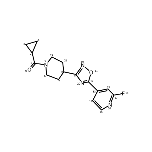 O=C(C1CC1)N1CCC(c2noc(-c3ccnc(F)c3)n2)CC1